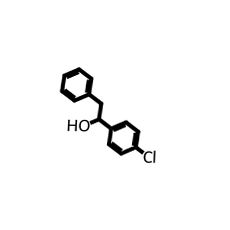 OC(Cc1ccccc1)c1ccc(Cl)cc1